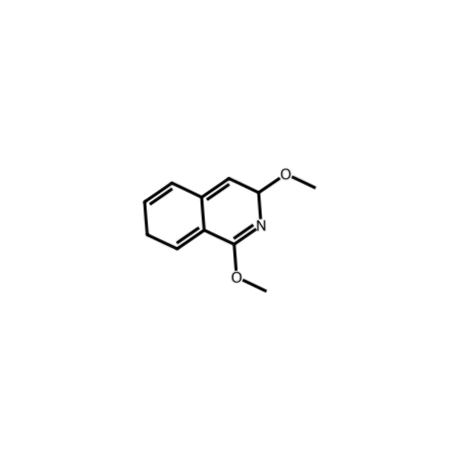 COC1=NC(OC)C=C2C=CCC=C21